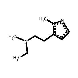 CCN(C)CCc1ccnn1C